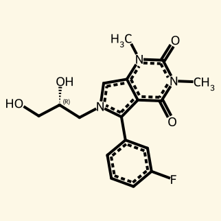 Cn1c(=O)c2c(-c3cccc(F)c3)n(C[C@@H](O)CO)cc2n(C)c1=O